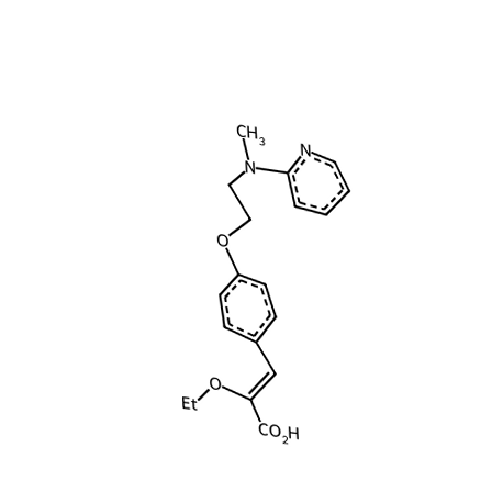 CCOC(=Cc1ccc(OCCN(C)c2ccccn2)cc1)C(=O)O